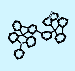 c1ccc(N2c3ccccc3C3(c4ccccc4-c4ccc(-c5cccc(C6(c7cccn8ncnc78)c7ccccc7-c7ccccc76)c5)cc43)c3ccccc32)cc1